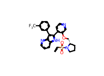 C=CS(=O)(=O)N1CCC[C@H]1COc1cnccc1-c1[nH]c2cccnc2c1-c1cccc(C(F)(F)F)c1